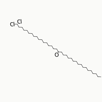 CCCCCCCCCCCCCCCCCC(=O)CCCCCCCCCCCCCCCCC(Cl)Cl